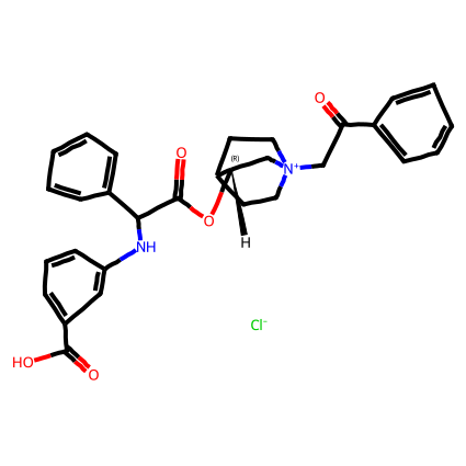 O=C(O)c1cccc(NC(C(=O)O[C@H]2C[N+]3(CC(=O)c4ccccc4)CCC2CC3)c2ccccc2)c1.[Cl-]